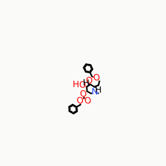 CN1C[C@H](OC(=O)OCc2ccccc2)[C@@H](O)[C@@H]2OC(c3ccccc3)OCC[C@H]21